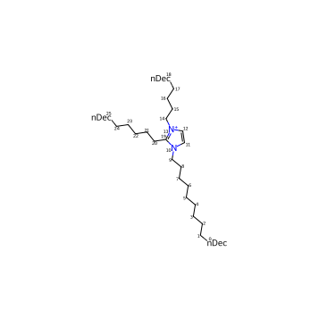 CCCCCCCCCCCCCCCCCCCn1cc[n+](CCCCCCCCCCCCCC)c1CCCCCCCCCCCCCCC